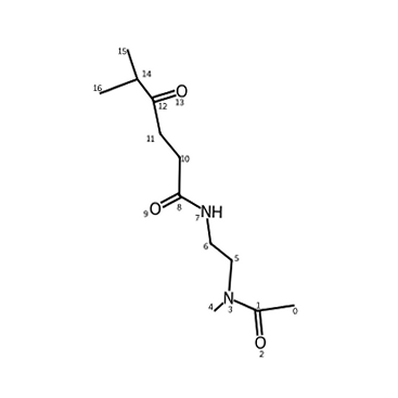 CC(=O)N(C)CCNC(=O)CCC(=O)C(C)C